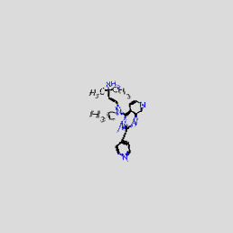 CN(CCC(C)(C)N)c1nc(-c2ccncc2)nc2cnccc12